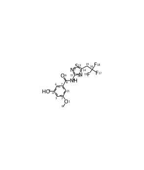 COc1cc(O)cc(C(=O)Nc2nsc(CC(F)(F)F)n2)c1